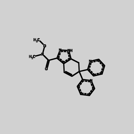 CON(C)C(=O)c1n[nH]c2c1C=CC(c1ccccn1)(c1ccccn1)C2